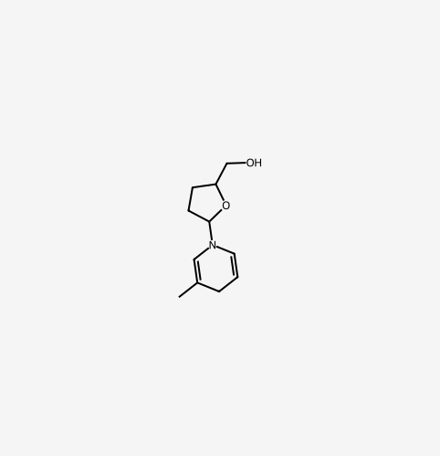 CC1=CN(C2CCC(CO)O2)C=CC1